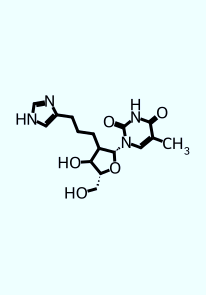 Cc1cn([C@@H]2O[C@H](CO)C(O)C2CCCc2c[nH]cn2)c(=O)[nH]c1=O